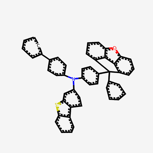 c1ccc(-c2ccc(N(c3ccc(C4(c5ccccc5)c5cccc6oc7cccc4c7c56)cc3)c3ccc4c(c3)sc3ccccc34)cc2)cc1